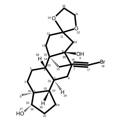 C[C@]12CC[C@H]3[C@@H](CC[C@@]4(O)CC5(CC[C@]34CC#CBr)OCCO5)[C@@H]1CC[C@@H]2O